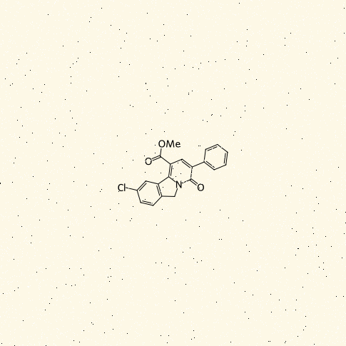 COC(=O)c1cc(-c2ccccc2)c(=O)n2c1-c1cc(Cl)ccc1C2